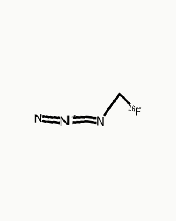 [N-]=[N+]=NC[18F]